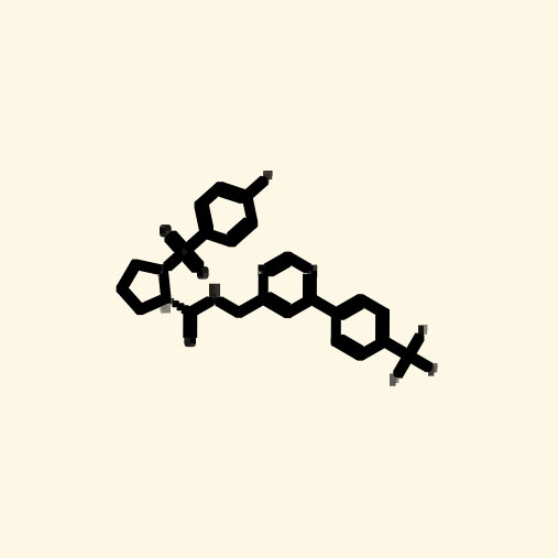 O=C(NCc1cc(-c2ccc(C(F)(F)F)cc2)ncn1)[C@@H]1CCCN1S(=O)(=O)c1ccc(F)cc1